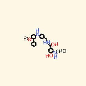 CCOc1ccc(Nc2ccc(CCNC[C@@H](O)c3ccc(O)c(NC=O)c3)cc2)cc1-c1ccccc1